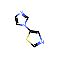 [c]1ncc(-n2ccnc2)s1